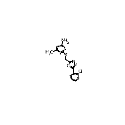 Cc1cc(N)nc(SCc2nnc(-c3ccccc3Cl)o2)n1